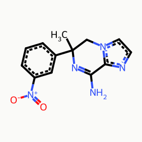 CC1(c2cccc([N+](=O)[O-])c2)Cn2ccnc2C(N)=N1